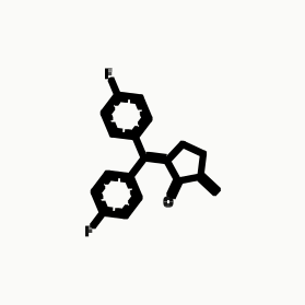 C=C1CCC(=C(c2ccc(F)cc2)c2ccc(F)cc2)C1=O